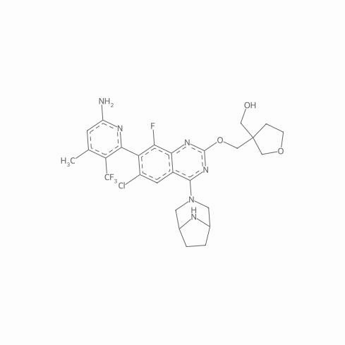 Cc1cc(N)nc(-c2c(Cl)cc3c(N4CC5CCC(C4)N5)nc(OCC4(CO)CCOC4)nc3c2F)c1C(F)(F)F